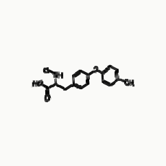 O=C(O)C(Cc1ccc(Oc2ccc(O)cc2)cc1)NCl